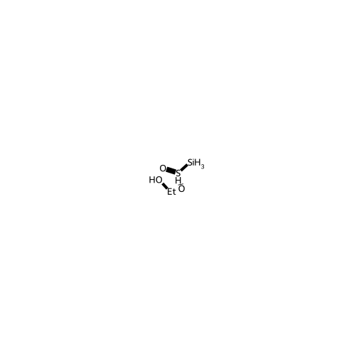 CCO.O=[SH](=O)[SiH3]